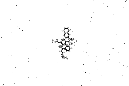 CCc1nc(-c2cc3c(cc2OC)CCCC3)c(CC)nc1NC(CCOC)c1ccccc1